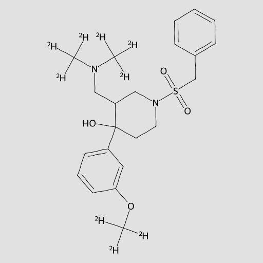 [2H]C([2H])([2H])Oc1cccc(C2(O)CCN(S(=O)(=O)Cc3ccccc3)CC2CN(C([2H])([2H])[2H])C([2H])([2H])[2H])c1